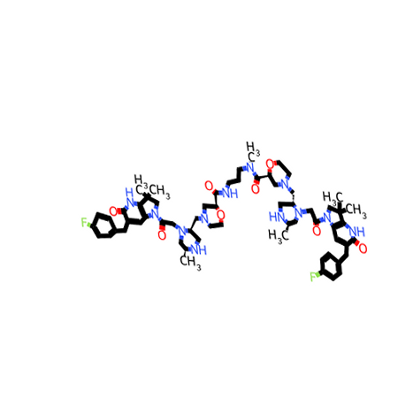 C[C@@H]1CN(CC(=O)N2CC(C)(C)c3[nH]c(=O)c(Cc4ccc(F)cc4)cc32)[C@@H](CN2CCO[C@H](C(=O)NCCCN(C)C(=O)[C@@H]3CN(C[C@H]4CN[C@H](C)CN4CC(=O)N4CC(C)(C)c5[nH]c(=O)c(Cc6ccc(F)cc6)cc54)CCO3)C2)CN1